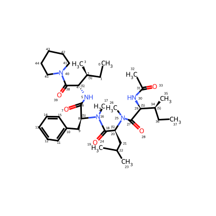 CC[C@H](C)[C@H](NC(=O)[C@H](Cc1ccccc1)N(C)C(=O)[C@H](CC(C)C)N(C)C(=O)[C@@H](NC(C)=O)[C@@H](C)CC)C(=O)N1CCCCC1